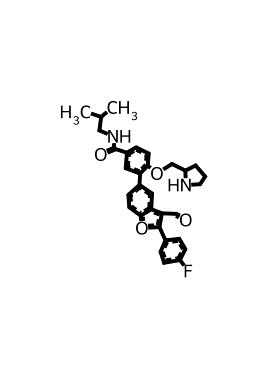 CC(C)CNC(=O)c1ccc(OCC2CCCN2)c(-c2ccc3oc(-c4ccc(F)cc4)c(C=O)c3c2)c1